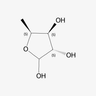 C[C@@H]1OC(O)[C@@H](O)[C@@H]1O